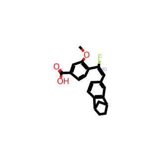 COc1cc(C(=O)O)ccc1/C(F)=C\c1ccc2c(c1)C1CCC2C1